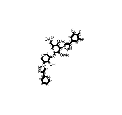 COC1C(SC2COCC(n3cc(-c4ccccn4)nn3)C2O)OC(COC(C)=O)C(OC(C)=O)C1n1cc(-c2cc(F)c(F)c(F)c2)nn1